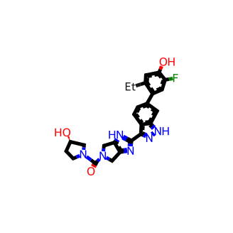 CCc1cc(O)c(F)cc1-c1ccc2c(-c3nc4c([nH]3)CN(C(=O)N3CC[C@H](O)C3)C4)n[nH]c2c1